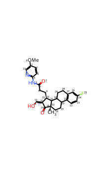 COc1ccc(NC(=O)CC[C@@H]2/C(=C/O)C(=O)[C@@]3(C)CCC4c5ccc(F)cc5CCC4C23)nc1